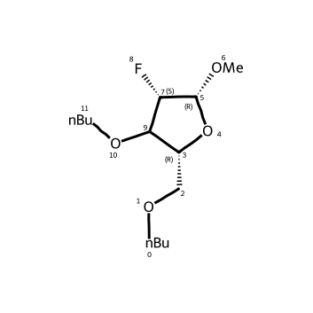 CCCCOC[C@H]1O[C@@H](OC)[C@@H](F)C1OCCCC